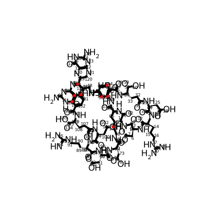 C[C@H](NC(=O)[C@H](CC(=O)O)NC(=O)[C@H](CCCNC(=N)N)NC(=O)[C@H](CC(=O)O)NC(=O)CC[C@H](NC(=O)c1ccc(NCc2cnc3nc(N)[nH]c(=O)c3n2)cc1)C(=O)O)C(=O)NC(CCCCNC(=O)[C@H](CC(=O)O)NC(=O)[C@H](CC(=O)O)NC(=O)[C@H](CCCNC(=N)N)NC(=O)[C@H](CC(=O)O)NC(=O)CC[C@H](NC(=O)c1ccc(NCc2cnc3nc(N)[nH]c(=O)c3n2)cc1)C(=O)O)C(=O)N[C@H](CS)C(=O)O